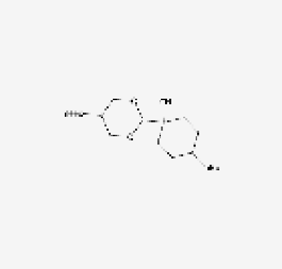 CCCCCCC1COC(C2(C#N)CCC(CCCC)CC2)OC1